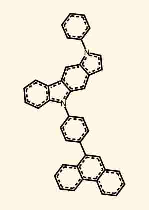 c1ccc(-n2ccc3cc4c(cc32)c2ccccc2n4-c2ccc(-c3cc4ccccc4c4ccccc34)cc2)cc1